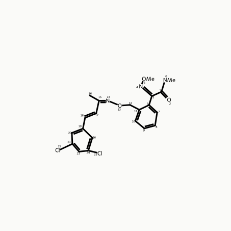 CNC(=O)C(=NOC)c1ccccc1CON=C(C)C=Cc1cc(Cl)cc(Cl)c1